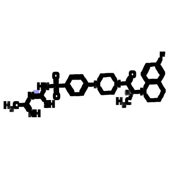 CC(=N)/N=C(\S)NS(=O)(=O)c1ccc(N2CCN(C(=O)[C@@H](C)N3CCCc4cc(F)ccc43)CC2)cc1